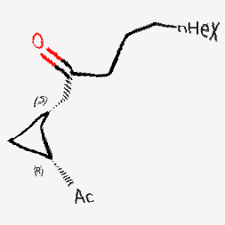 CCCCCCCCC(=O)[C@H]1C[C@H]1C(C)=O